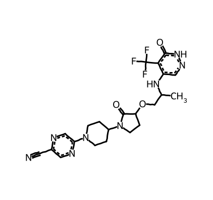 CC(COC1CCN(C2CCN(c3cnc(C#N)cn3)CC2)C1=O)Nc1cn[nH]c(=O)c1C(F)(F)F